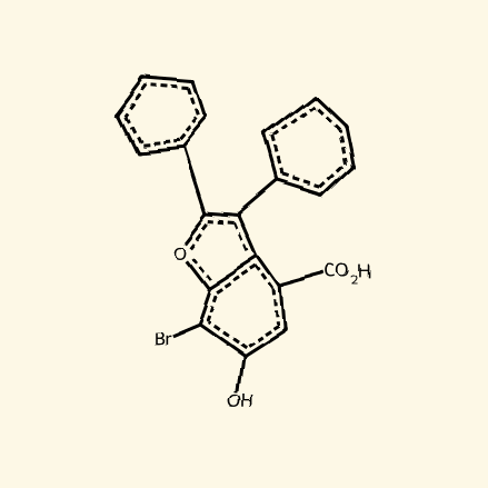 O=C(O)c1cc(O)c(Br)c2oc(-c3ccccc3)c(-c3ccccc3)c12